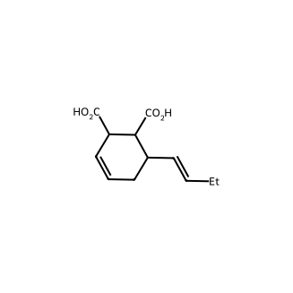 CCC=CC1CC=CC(C(=O)O)C1C(=O)O